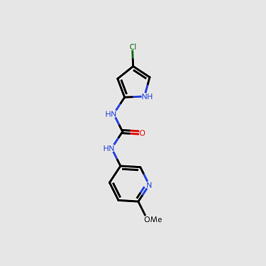 COc1ccc(NC(=O)Nc2cc(Cl)c[nH]2)cn1